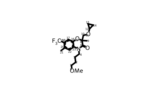 COCCCCN1C(=O)C(C)(COC2CC2)Oc2cc(C(F)(F)F)c(C)cc21